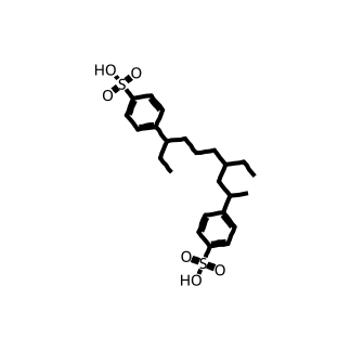 CCC(CCCC(CC)c1ccc(S(=O)(=O)O)cc1)CC(C)c1ccc(S(=O)(=O)O)cc1